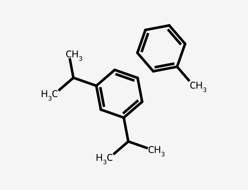 CC(C)c1cccc(C(C)C)c1.Cc1ccccc1